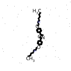 CCCCC/C=C/COc1ccc(-c2cnc(-c3ccc(OC/C=C/CCCCC)cc3)o2)cc1